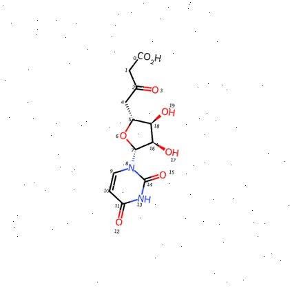 O=C(O)CC(=O)C[C@H]1O[C@@H](n2ccc(=O)[nH]c2=O)[C@H](O)[C@@H]1O